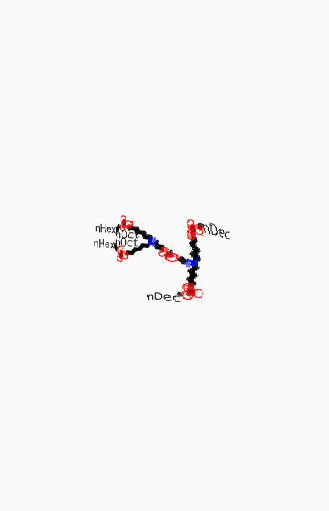 CCCCCCCCCCCOC(=O)OCCCCCN(CCCCCOC(=O)OCCCCCCCCCCC)CCOCOCCCN(CCCCCCOC(=O)OCC(CCCCCC)CCCCCCCC)CCCCCCOC(=O)OCC(CCCCCC)CCCCCCCC